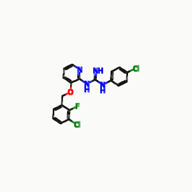 N=C(Nc1ccc(Cl)cc1)Nc1ncccc1OCc1cccc(Cl)c1F